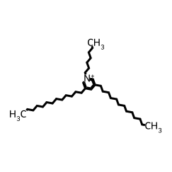 CCCCCCCCCCCCCc1cc(CCCCCCCCCCCCC)c[n+](CCCCCCC)c1